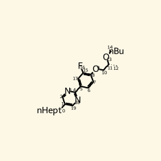 CCCCCCCc1cnc(-c2ccc(OC[C@@H](C)OCCCC)c(F)c2)nc1